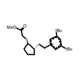 COC(=O)CS[C@@H]1CCC[C@H]1CCc1cc(C(C)(C)C)cc(C(C)(C)C)c1